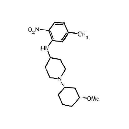 CO[C@@H]1CCC[C@H](N2CCC(Nc3cc(C)ccc3[N+](=O)[O-])CC2)C1